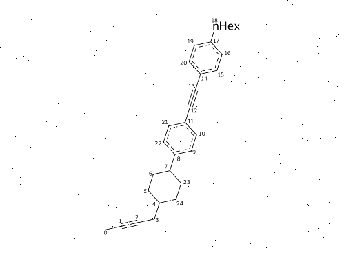 CC#CCC1CCC(c2ccc(C#Cc3ccc(CCCCCC)cc3)cc2)CC1